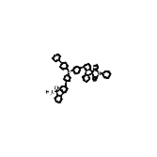 CC1(C)c2ccccc2-c2ccc(-c3ccc(N(c4ccc(-c5ccccc5)cc4)c4ccc(-c5cccc6c5-c5ccccc5C65c6ccccc6N(c6ccccc6)c6ccccc65)cc4)cc3)cc21